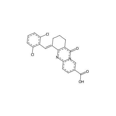 O=C(O)c1ccc2nc3c(c(=O)n2c1)CCCC3=Cc1c(Cl)cccc1Cl